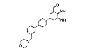 N=C1C=C(c2ccc(-c3cccc(CN4CCOCC4)c3)cc2)C=C(C=O)C1=N